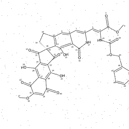 COC(=O)C(=Cc1cc2cc3c(c(O)c2c(=O)[nH]1)[C@@]1(CC3)C(=O)c2c(O)c3c(c(O)c2C1=O)C(=O)C(OC)=CC3=O)NC(=O)OCc1ccccc1